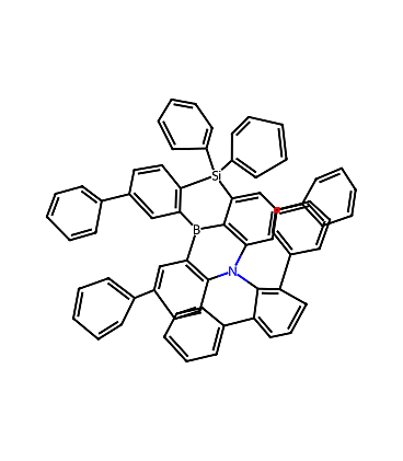 c1ccc(-c2ccc3c(c2)B2c4cc(-c5ccccc5)ccc4[Si](c4ccccc4)(c4ccccc4)c4cc(-c5ccccc5)cc(c42)N3c2c(-c3ccccc3)cccc2-c2ccccc2)cc1